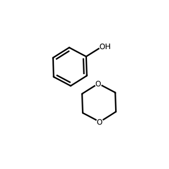 C1COCCO1.Oc1ccccc1